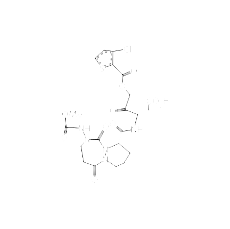 COC(=O)NN1CCC(=O)N2CCC[C@@H](C(=O)N[C@@H](CC(=O)O)C(=O)COC(=O)c3sccc3Cl)N2C1=O